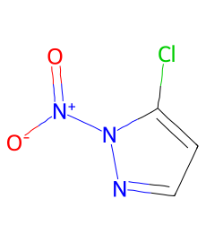 O=[N+]([O-])n1nccc1Cl